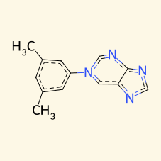 Cc1cc(C)cc(-n2cnc3ncnc-3c2)c1